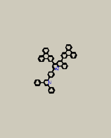 c1ccc(-c2cc(-c3ccccc3)nc(-c3ccc(-c4cc(-c5ccc6c7ccccc7c7ccccc7c6c5)c5cc(-c6ccc7c8ccccc8c8ccccc8c7c6)c6ccccc6c5n4)cc3)c2)cc1